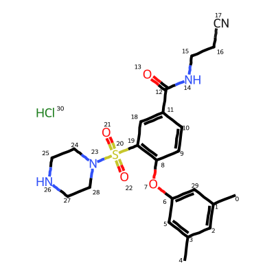 Cc1cc(C)cc(Oc2ccc(C(=O)NCCC#N)cc2S(=O)(=O)N2CCNCC2)c1.Cl